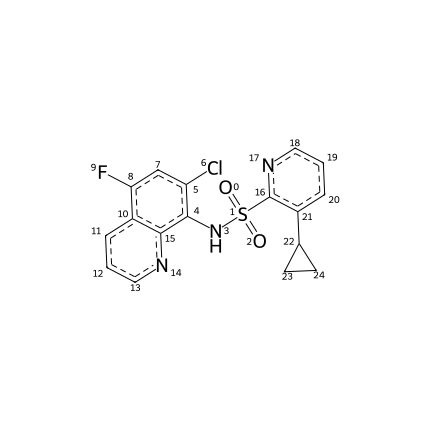 O=S(=O)(Nc1c(Cl)cc(F)c2cccnc12)c1ncccc1C1CC1